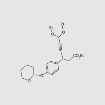 CCOC(=O)CC(C#CC(OCC)OCC)c1ccc(OC2CCCCO2)cc1